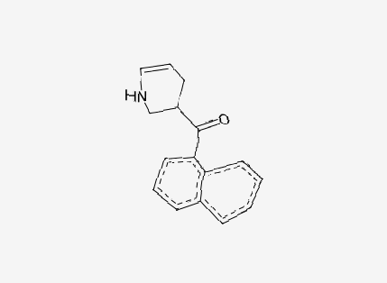 O=C(c1cccc2ccccc12)C1CC=CNC1